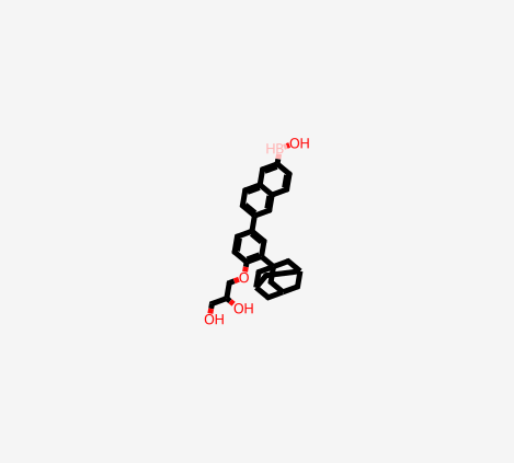 OBc1ccc2cc(-c3ccc(OCC(O)CO)c(C45CC6CC(CC(C6)C4)C5)c3)ccc2c1